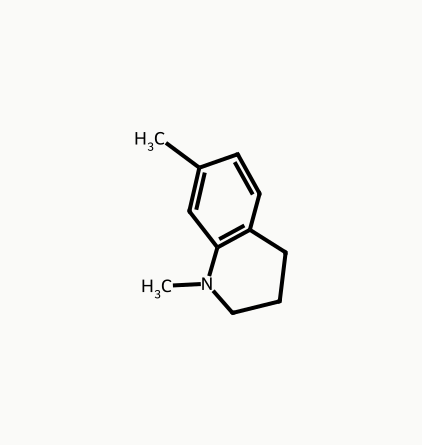 Cc1ccc2c(c1)N(C)CCC2